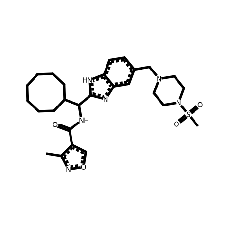 Cc1nocc1C(=O)NC(c1nc2cc(CN3CCN(S(C)(=O)=O)CC3)ccc2[nH]1)C1CCCCCCC1